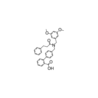 COc1cc(CN(Cc2ccc(-c3ccccc3C(=O)O)cc2)C(=O)CCc2ccccc2)cc(OC)c1